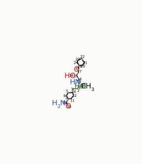 C[C@H](CCc1ccc(C(N)=O)cc1)NC[C@H](O)COc1ccccc1.Cl